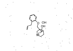 C=CCc1ccccc1OCC1(O)CN2CCC1CC2.Cl